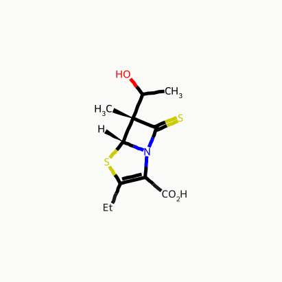 CCC1=C(C(=O)O)N2C(=S)[C@@](C)(C(C)O)[C@H]2S1